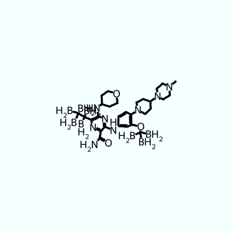 BC(B)(B)Oc1cc(Nc2nc(NC3CCOCC3)c(C(B)(B)C(B)(B)B)nc2C(N)=O)ccc1N1CCC(N2CCN(C)CC2)CC1